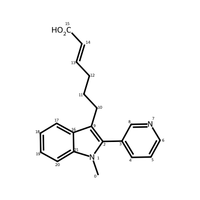 Cn1c(-c2cccnc2)c(CCCC=CC(=O)O)c2ccccc21